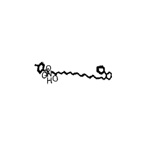 Cc1ccc(S(=O)(=O)NCC(=O)CCCCCCCCCCCCCCC2CCCCC2c2ccccc2)cc1